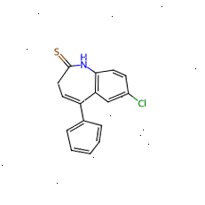 S=C1CC=C(c2ccccc2)c2cc(Cl)ccc2N1